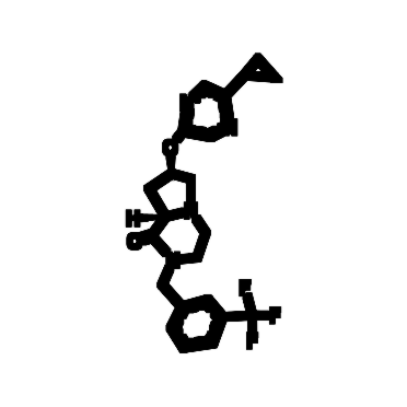 O=C1[C@H]2C[C@@H](Oc3cnc(C4CC4)cn3)CN2CCN1Cc1cccc(C(F)(F)F)c1